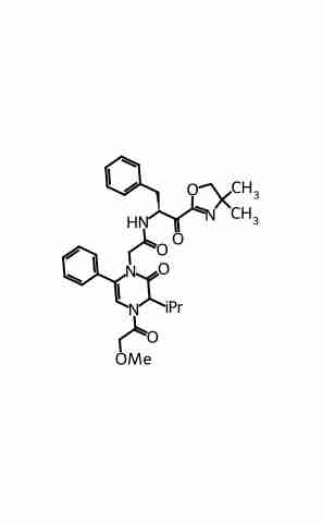 COCC(=O)N1C=C(c2ccccc2)N(CC(=O)N[C@@H](Cc2ccccc2)C(=O)C2=NC(C)(C)CO2)C(=O)C1C(C)C